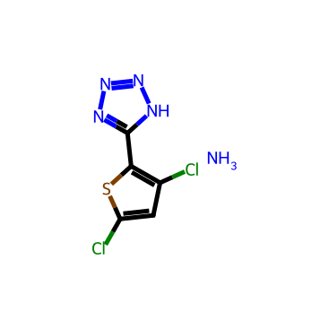 Clc1cc(Cl)c(-c2nnn[nH]2)s1.N